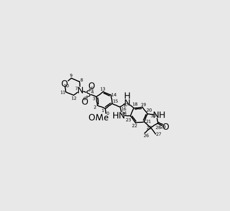 COc1cc(S(=O)(=O)N2CCOCC2)ccc1C1Nc2cc3c(cc2N1)C(C)(C)C(=O)N3